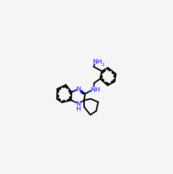 NCc1ccccc1CNC1=Nc2ccccc2NC12CCCCC2